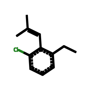 CCc1cccc(Cl)c1C=C(C)C